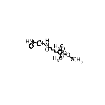 COCCOCOc1c(OC)cc(C=CC=CC(=O)NCCN2CCC(c3c[nH]c4ccccc34)CC2)cc1OC